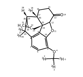 [2H]C([2H])([2H])Oc1ccc2c3c1OC1C(=O)CC[C@@]4([2H])[C@H](N(C)CC[C@]314)C2([2H])[2H]